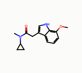 COc1cccc2c(CC(=O)N(C)C3CC3)c[nH]c12